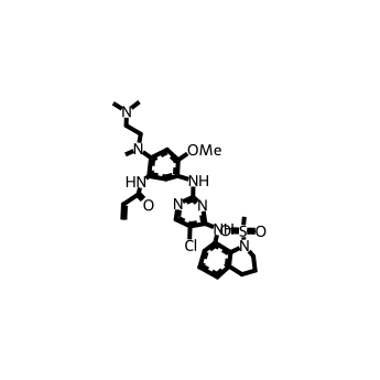 C=CC(=O)Nc1cc(Nc2ncc(Cl)c(Nc3cccc4c3N(S(C)(=O)=O)CCC4)n2)c(OC)cc1N(C)CCN(C)C